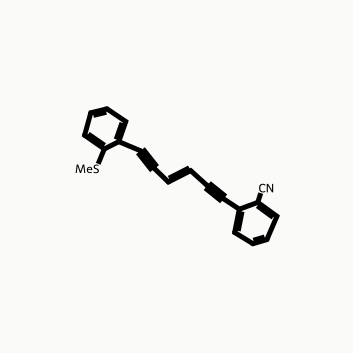 CSc1ccccc1C#CC=CC#Cc1ccccc1C#N